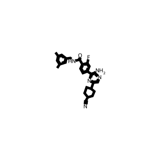 Cc1cc(C)cc(CNC(=O)c2ccc(-c3nc(C4CCC(C#N)CC4)cnc3N)cc2F)c1